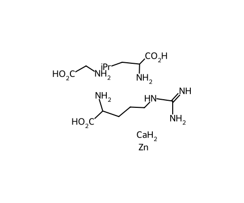 CC(C)CC(N)C(=O)O.N=C(N)NCCCC(N)C(=O)O.NCC(=O)O.[CaH2].[Zn]